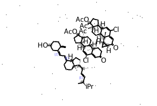 C=C1CC[C@H](O)C/C1=C/C=C1\CCC[C@]2(C)[C@@H]([C@H](C)/C=C/[C@H](C)C(C)C)CC[C@@H]12.CC(=O)O[C@]1(C(C)=O)CC[C@H]2[C@@H]3C=C(Cl)C4=CC(=O)CC[C@]4(C)[C@H]3CC[C@@]21C.CC(=O)O[C@]1(C(C)=O)CC[C@H]2[C@@H]3C=C(Cl)C4=CC(=O)[C@@H]5C[C@@H]5[C@]4(C)[C@H]3CC[C@@]21C